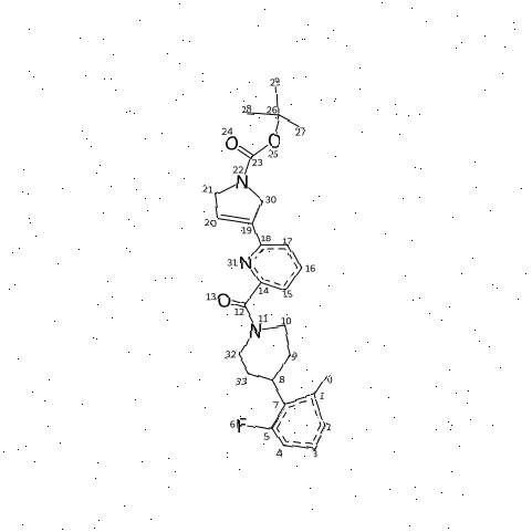 Cc1cccc(F)c1C1CCN(C(=O)c2cccc(C3=CCN(C(=O)OC(C)(C)C)C3)n2)CC1